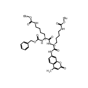 Cc1cc(=O)oc2cc(NC(=O)[C@H](CCCCNC(=O)OC(C)(C)C)NC(=O)[C@H](CCCCNC(=O)OC(C)(C)C)NC(=O)OCc3ccccc3)ccc12